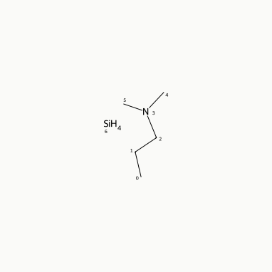 CCCN(C)C.[SiH4]